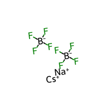 F[B-](F)(F)F.F[B-](F)(F)F.[Cs+].[Na+]